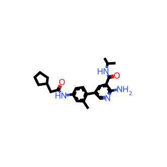 Cc1cc(NC(=O)CC2CCCC2)ccc1-c1cnc(N)c(C(=O)NC(C)C)c1